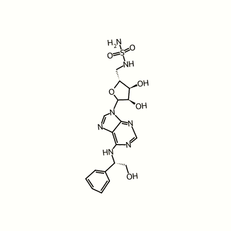 NS(=O)(=O)NC[C@H]1OC(n2cnc3c(N[C@H](CO)c4ccccc4)ncnc32)[C@H](O)[C@@H]1O